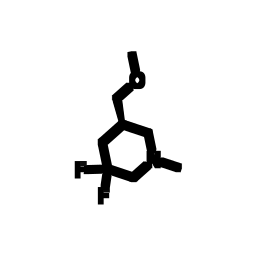 COC[C@H]1CN(C)CC(F)(F)C1